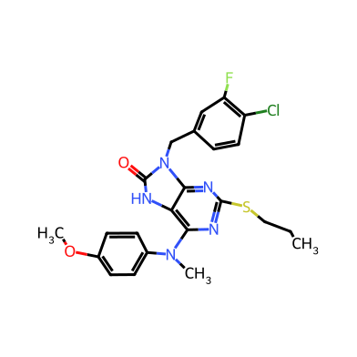 CCCSc1nc(N(C)c2ccc(OC)cc2)c2[nH]c(=O)n(Cc3ccc(Cl)c(F)c3)c2n1